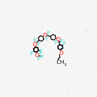 CCCCOc1ccc(C(F)(F)OC2CCC(C(F)(F)OC3CCC(C(F)(F)Oc4cc(F)c(OC(F)(F)F)c(F)c4)CC3)CC2)c(F)c1